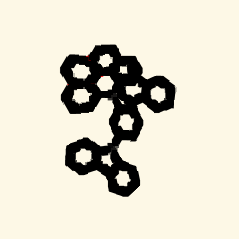 c1ccc(-c2ccccc2N(c2cccc(-n3c4ccccc4c4ccccc43)c2)c2ccccc2-c2cccc3oc4c5ccccc5ccc4c23)cc1